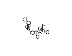 O=C1CCC(N2Cc3cc(CN4Cc5ccc(Cl)cc5O4)ccc3C2=O)C(=O)N1